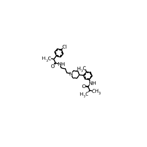 Cc1ccc(NC(=O)C(C)C)cc1C1CCN(CCCNC(=O)C(C)c2ccc(Cl)cc2)CC1